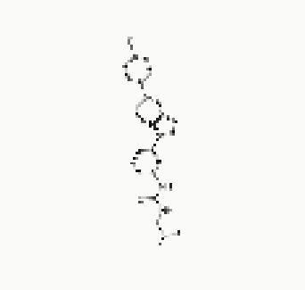 O=C(NCC(F)F)Nc1cccc(-c2cnc3cc(-c4ccc(F)cc4)ccn23)c1